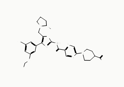 C[C@@H]1CCCN1Cc1sc(NC(=O)c2cnc(N3CCC(C(=O)O)CC3)cn2)nc1-c1cc(Cl)cc(OCF)c1